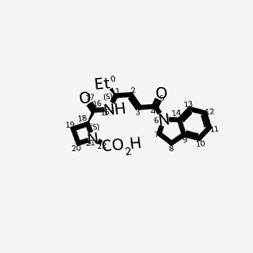 CC[C@@H](C=CC(=O)N1CCc2ccccc21)NC(=O)[C@@H]1CCN1C(=O)O